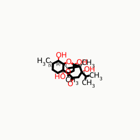 CC(C)[C@@]1(O)CC(=O)C2(C)C[C@]3(O)O[C@]4(C(=O)[C@@]31C)[C@H](O)[C@@H](C)CC[C@]24O